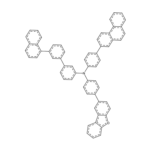 c1cc(-c2cccc(N(c3ccc(-c4ccc5c(ccc6ccccc65)c4)cc3)c3ccc(-c4ccc5oc6ccccc6c5c4)cc3)c2)cc(-c2cccc3ccccc23)c1